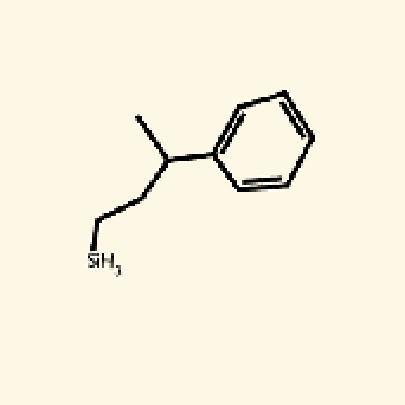 CC(CC[SiH3])c1ccccc1